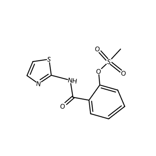 CS(=O)(=O)Oc1ccccc1C(=O)Nc1nccs1